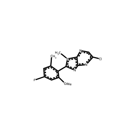 COc1cc(F)cc(C)c1-c1nc2nc(Cl)cnc2n1C